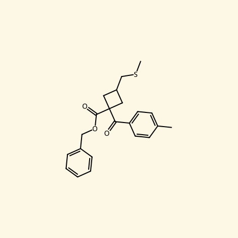 CSCC1CC(C(=O)OCc2ccccc2)(C(=O)c2ccc(C)cc2)C1